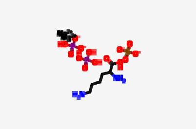 NCCCCC(N)C(=O)O.O=P(O)(O)O.O=P([O-])([O-])O.O=S(=O)([O-])[O-].[Mg+2].[Mg+2]